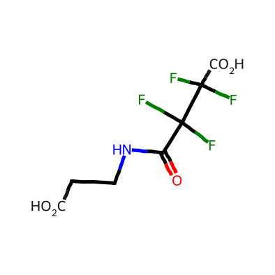 O=C(O)CCNC(=O)C(F)(F)C(F)(F)C(=O)O